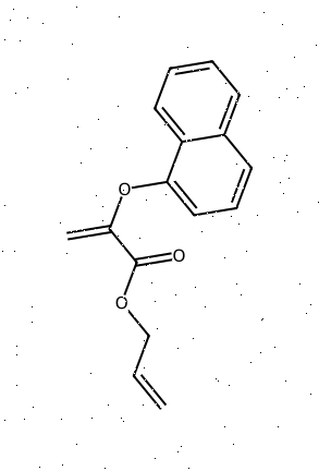 C=CCOC(=O)C(=C)Oc1cccc2ccccc12